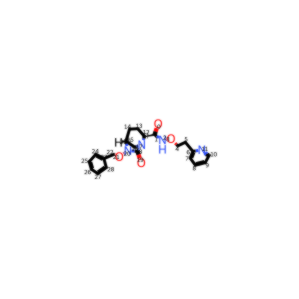 O=C(NOCCc1ccccn1)[C@@H]1CC[C@@H]2CN1C(=O)N2OCc1ccccc1